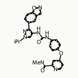 CNC(=O)c1cc(Oc2ccc(NC(=O)Nc3cn(C(C)C)nc3-c3ccc4oncc4c3)cc2)ccn1